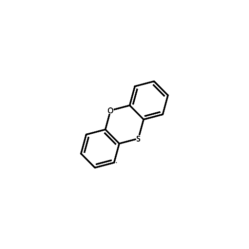 [c]1cccc2c1Sc1ccccc1O2